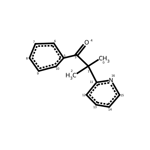 CC(C)(C(=O)c1ccccc1)c1ccccn1